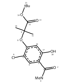 CNC(=O)c1cc(Cl)c(OC(C)(C)C(=O)OC(C)(C)C)cc1O